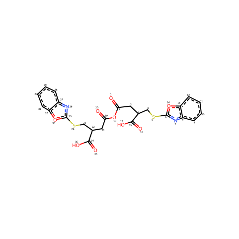 O=C(CC(CSc1nc2ccccc2o1)C(=O)O)OC(=O)CC(CSc1nc2ccccc2o1)C(=O)O